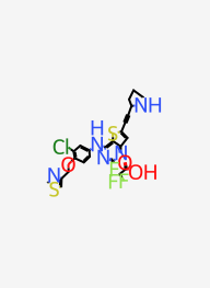 Clc1cc(Nc2ncnc3cc(C#CC4CCCN4)sc23)ccc1OCc1cscn1.O=C(O)C(F)(F)F